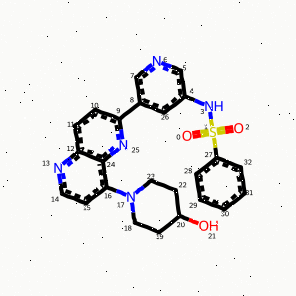 O=S(=O)(Nc1cncc(-c2ccc3nccc(N4CCC(O)CC4)c3n2)c1)c1ccccc1